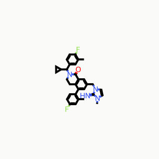 Cc1cc(C(C2CC2)N2CCc3c(cc(Cn4ccn(C)c4=N)cc3-c3ccc(F)cc3C)C2=O)ccc1F